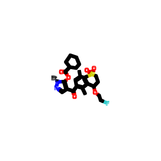 CCn1ncc(C(=O)c2cc(C)c3c(c2C)C(OCCF)CCS3(=O)=O)c1OC(=O)C1CCCCC1